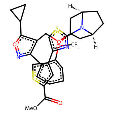 COC(=O)c1cc(-c2csc(N3[C@@H]4CC[C@H]3C[C@@H](OCc3c(-c5ccccc5OC(F)(F)F)noc3C3CC3)C4)n2)cs1